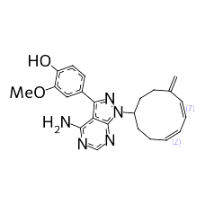 C=C1/C=C\C=C/CCC(n2nc(-c3ccc(O)c(OC)c3)c3c(N)ncnc32)CC1